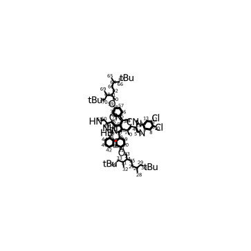 C/C(=C(/C#N)c1cnc2cc(Cl)c(Cl)cc2n1)c1c(-c2ccc(OCC(CCC(C)CC(C)(C)C)C(C)CC(C)(C)C)cc2)n(Bc2ccccc2)c(=C(/C#N)C(=N)C=N)/c1=C(/C)c1ccc(OCC(CCC(C)CC(C)(C)C)C(C)CC(C)(C)C)cc1